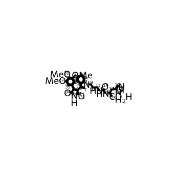 COc1cc(C2=C(c3cn(CCCNC(=O)NC(Cc4cnc[nH]4)C(=O)O)c4ccccc34)C(=O)NC2=O)cc(OC)c1OC